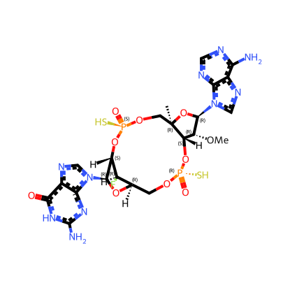 CO[C@H]1[C@H](n2cnc3c(N)ncnc32)O[C@]2(C)CO[P@](=O)(S)O[C@@H]3[C@H](F)[C@@H](CO[P@@](=O)(S)O[C@@H]12)O[C@H]3n1cnc2c(=O)[nH]c(N)nc21